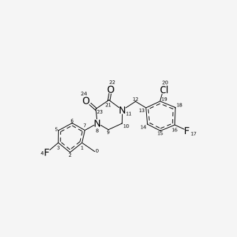 Cc1cc(F)ccc1N1CCN(Cc2ccc(F)cc2Cl)C(=O)C1=O